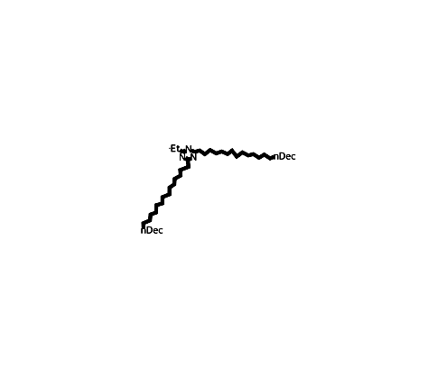 C[CH]c1nc(CCCCCCCCCCCCCCCCCCCCCCCC)nc(CCCCCCCCCCCCCCCCCCCCCCCC)n1